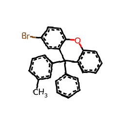 Cc1cccc(C2(c3ccccc3)c3ccccc3Oc3ccc(Br)cc32)c1